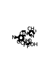 Cc1ccncc1N1CCOC2(C=C(C#N)C(=O)C(C)(C)C2)C1.O=C(O)C(F)(F)F